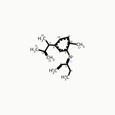 C=C/C(CC)=N\c1cc(C(C)C(=C)C)ccc1C